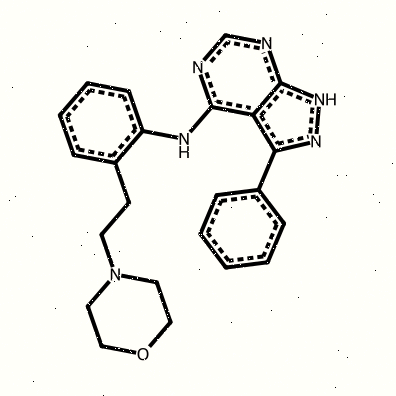 c1ccc(-c2n[nH]c3ncnc(Nc4ccccc4CCN4CCOCC4)c23)cc1